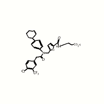 O=C(O)CCNC(=O)c1ccc(CN(C(=O)Cc2ccc(Cl)c(C(F)(F)F)c2)c2ccc(C3CCCCC3)cc2)o1